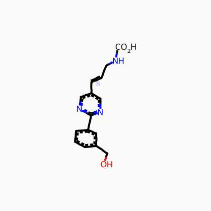 O=C(O)NC/C=C/c1cnc(-c2cccc(CO)c2)nc1